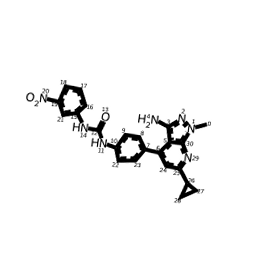 Cn1nc(N)c2c(-c3ccc(NC(=O)Nc4cccc([N+](=O)[O-])c4)cc3)cc(C3CC3)nc21